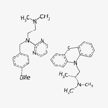 CC(CN1c2ccccc2Sc2ccccc21)N(C)C.COc1ccc(CN(CCN(C)C)c2ncccn2)cc1